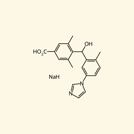 Cc1ccc(-n2ccnc2)cc1C(O)c1c(C)cc(C(=O)O)cc1C.[NaH]